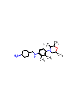 Cc1c(NCC2CCC(N)CC2)ccc(N2CC(C)OC(C)C2C)c1C